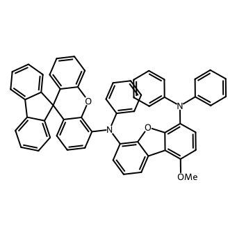 COc1ccc(N(c2ccccc2)c2ccccc2)c2oc3c(N(c4ccccc4)c4cccc5c4Oc4ccccc4C54c5ccccc5-c5ccccc54)cccc3c12